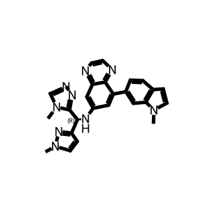 Cn1ccc([C@@H](Nc2cc(-c3ccc4ccn(C)c4c3)c3nccnc3c2)c2nncn2C)n1